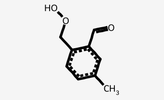 Cc1ccc(COO)c(C=O)c1